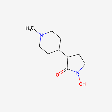 CN1CCC(C2CCN(O)C2=O)CC1